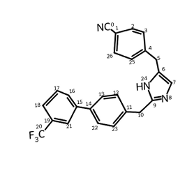 N#Cc1ccc(Cc2cnc(Cc3ccc(-c4cccc(C(F)(F)F)c4)cc3)[nH]2)cc1